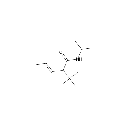 CC=CC(C(=O)NC(C)C)C(C)(C)C